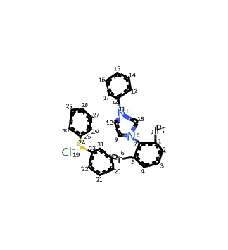 CC(C)c1cccc(C(C)C)c1-n1cc[n+](-c2ccccc2)c1.[Cl-].c1ccc(Sc2ccccc2)cc1